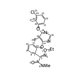 CCO/N=C(/C(=O)NC)c1ccccc1Oc1ncnc(Oc2cccc(Cl)c2C)c1F